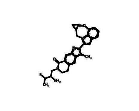 COc1cccc2cc(-c3nc4cc5c(cc4n3C)CCN(CC(N)C(C)F)C5=O)n(CC3CC3)c12